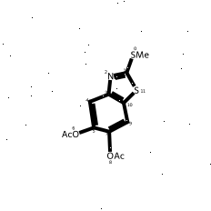 CSc1nc2cc(OC(C)=O)c(OC(C)=O)cc2s1